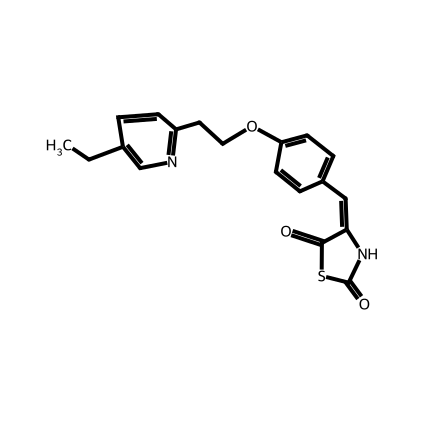 CCc1ccc(CCOc2ccc(C=C3NC(=O)SC3=O)cc2)nc1